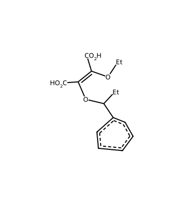 CCOC(C(=O)O)=C(OC(CC)c1ccccc1)C(=O)O